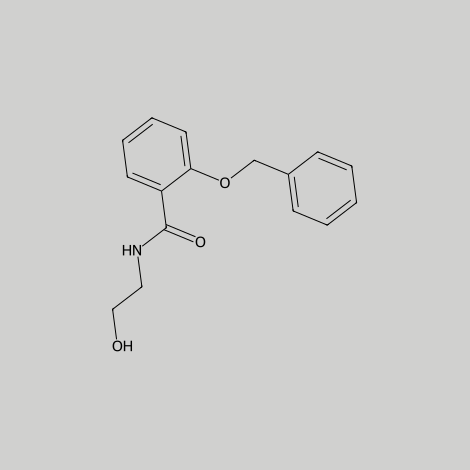 O=C(NCCO)c1ccccc1OCc1ccccc1